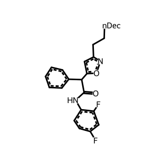 CCCCCCCCCCCCc1cc(C(C(=O)Nc2ccc(F)cc2F)c2ccccc2)on1